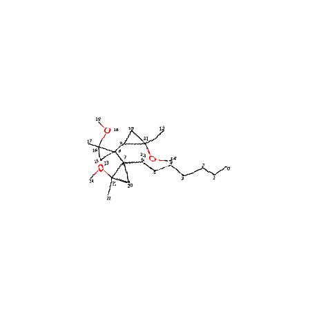 CCCCCCCC1(C2([C]3CC3(C)OC)CC2(C)OC)CC1(C)OC